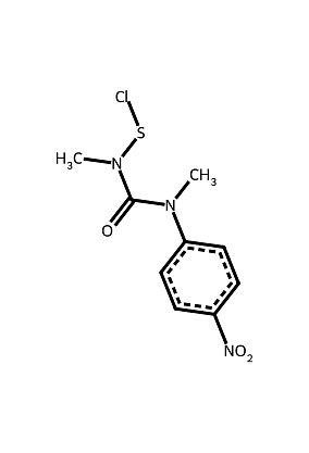 CN(SCl)C(=O)N(C)c1ccc([N+](=O)[O-])cc1